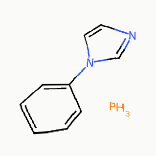 P.c1ccc(-n2ccnc2)cc1